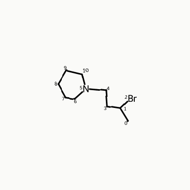 CC(Br)CCN1CCCCC1